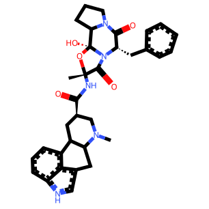 CN1C[C@H](C(=O)N[C@]2(C)O[C@@]3(O)C4CCCN4C(=O)[C@H](Cc4ccccc4)N3C2=O)CC2c3cccc4[nH]cc(c34)CC21